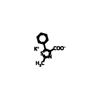 Cc1nc(C(=O)[O-])c(-c2ccccc2)s1.[K+]